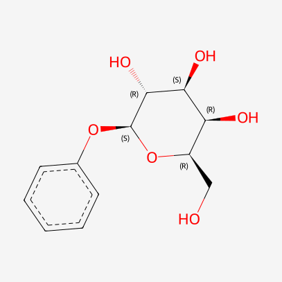 OC[C@H]1O[C@@H](Oc2ccccc2)[C@H](O)[C@@H](O)[C@H]1O